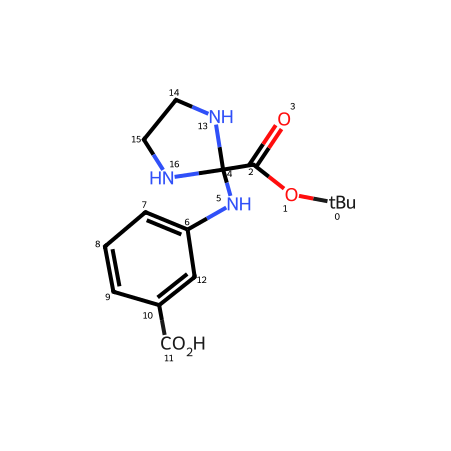 CC(C)(C)OC(=O)C1(Nc2cccc(C(=O)O)c2)NCCN1